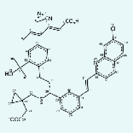 C/C=C/C=C/C(=O)O.CC#N.CC(C)(O)c1ccccc1CC[C@@H](SCC1(CC(=O)[O-])CC1)c1cccc(/C=C/c2ccc3ccc(Cl)cc3n2)c1.[Na+]